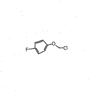 Fc1ccc(OCCl)cc1